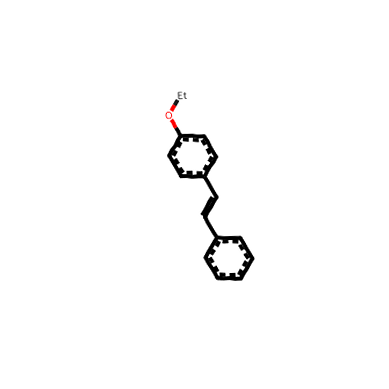 CCOc1ccc(C=Cc2ccccc2)cc1